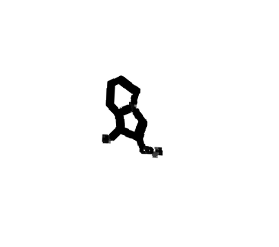 O=C(O)c1cn2ccccc2c1Br